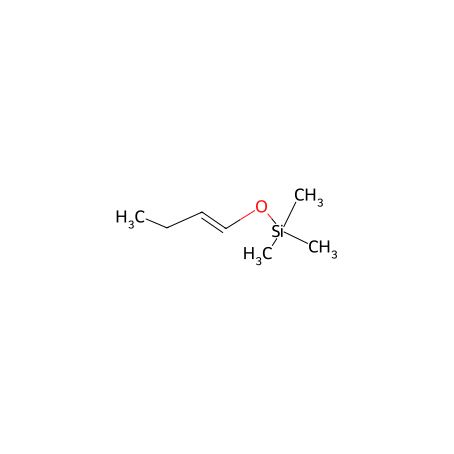 CC/C=C/O[Si](C)(C)C